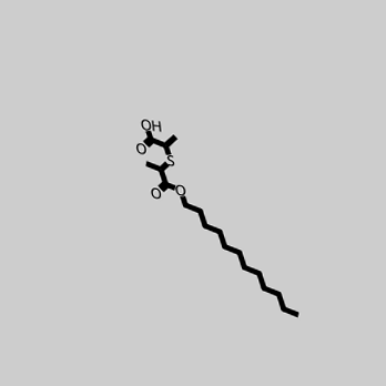 CCCCCCCCCCCCOC(=O)C(C)SC(C)C(=O)O